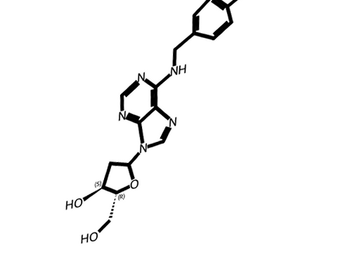 OC[C@H]1OC(n2cnc3c(NCc4ccc(Br)cc4)ncnc32)C[C@@H]1O